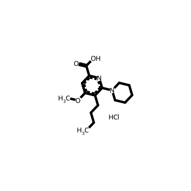 CCCCc1c(OC)cc(C(=O)O)nc1N1CCCCC1.Cl